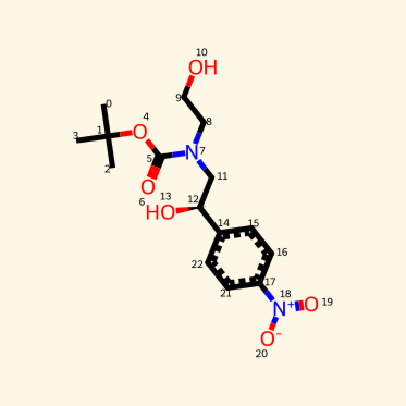 CC(C)(C)OC(=O)N(CCO)C[C@H](O)c1ccc([N+](=O)[O-])cc1